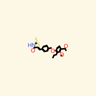 CCCc1c(OCc2ccc(/C=C3\SC(=S)NC3=O)cc2)ccc(C(C)=O)c1OC